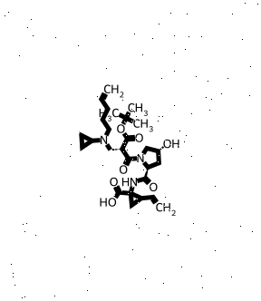 C=CCCCN(C[C@H](C(=O)OC(C)(C)C)C(=O)N1C[C@H](O)C[C@H]1C(=O)NC1(C(=O)O)CC1C=C)C1CC1